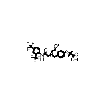 COCCN(CC(=O)Nc1ccc(C(F)(F)F)cc1C(F)(F)F)Cc1ccc(SC(C)(C)C(=O)O)cc1